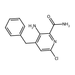 NC(=O)c1nc(Cl)cc(Cc2ccccc2)c1N